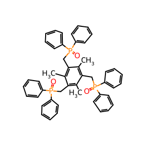 Cc1c(CP(=O)(c2ccccc2)c2ccccc2)c(C)c(CP(=O)(c2ccccc2)c2ccccc2)c(C)c1CP(=O)(c1ccccc1)c1ccccc1